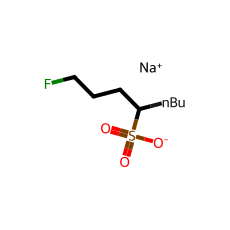 CCCCC(CCCF)S(=O)(=O)[O-].[Na+]